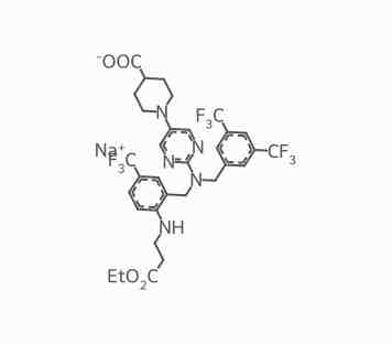 CCOC(=O)CCNc1ccc(C(F)(F)F)cc1CN(Cc1cc(C(F)(F)F)cc(C(F)(F)F)c1)c1ncc(N2CCC(C(=O)[O-])CC2)cn1.[Na+]